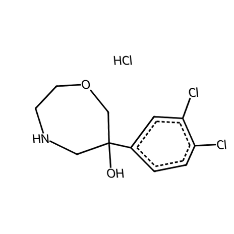 Cl.OC1(c2ccc(Cl)c(Cl)c2)CNCCOC1